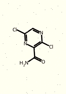 NC(=O)c1nc(Cl)cnc1Cl